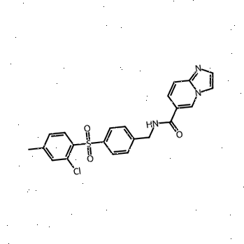 Cc1ccc(S(=O)(=O)c2ccc(CNC(=O)c3ccc4nccn4c3)cc2)c(Cl)c1